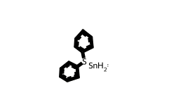 [SnH2].c1ccc(Sc2ccccc2)cc1